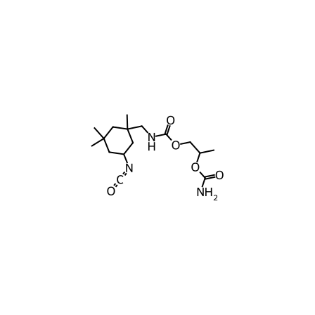 CC(COC(=O)NCC1(C)CC(N=C=O)CC(C)(C)C1)OC(N)=O